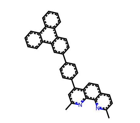 Cc1ccc2ccc3c(-c4ccc(-c5ccc6c7ccccc7c7ccccc7c6c5)cc4)cc(C)nc3c2n1